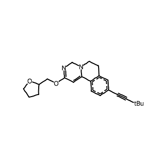 CC(C)(C)C#Cc1ccc2c(c1)CCN1CN=C(OCC3CCCO3)C=C21